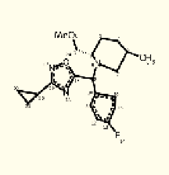 COC[C@@H]1CC[C@@H](C)CN1C(c1ccc(F)cc1)c1nc(C2CC2)no1